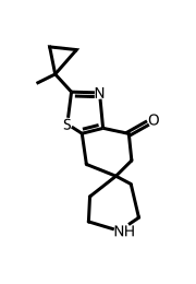 CC1(c2nc3c(s2)CC2(CCNCC2)CC3=O)CC1